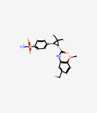 COc1ccc(CF)cc1NC(=O)[C@@H]1[C@@H](c2ccc(S(N)(=O)=O)cc2)C1(C)C